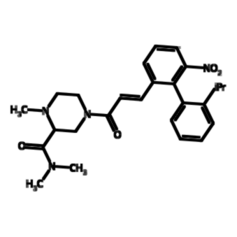 CC(C)c1ccccc1-c1c([N+](=O)[O-])[c]ccc1/C=C/C(=O)N1CCN(C)C(C(=O)N(C)C)C1